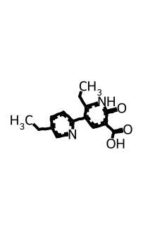 CCc1ccc(-c2cc(C(=O)O)c(=O)[nH]c2CC)nc1